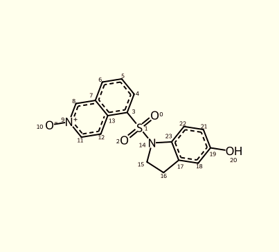 O=S(=O)(c1cccc2c[n+]([O-])ccc12)N1CCc2cc(O)ccc21